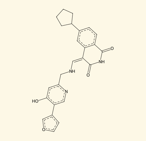 O=C1NC(=O)c2ccc(C3CCCC3)cc2C1=CNCc1cc(O)c(-c2ccoc2)cn1